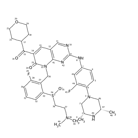 C[C@@H]1CN(c2ccc(Nc3ncc4cc(C(=O)C5CCOCC5)c(=O)n(Cc5c(F)cccc5[S+]([O-])CCN(C)C)c4n3)cc2F)C[C@H](C)N1